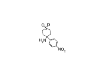 NC1(c2ccc([N+](=O)[O-])cc2)CCS(=O)(=O)CC1